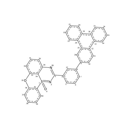 O=S12=NC(c3cccc(-c4ccc5c6ccccc6c6ccccc6c5c4)c3)=Nc3cccc(c31)Oc1ccccc12